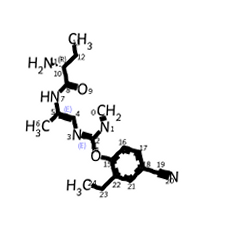 C=N/C(=N\C=C(/C)NC(=O)[C@H](N)CC)Oc1ccc(C#N)cc1CC